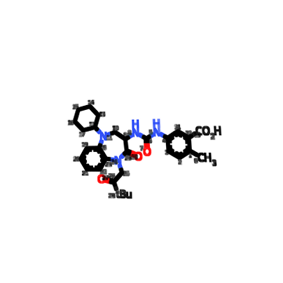 Cc1ccc(NC(=O)NC2CN(C3CCCCC3)c3ccccc3N(CC(=O)C(C)(C)C)C2=O)cc1C(=O)O